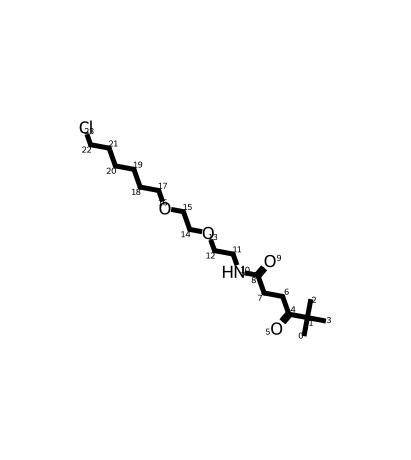 CC(C)(C)C(=O)CCC(=O)NCCOCCOCCCCCCCl